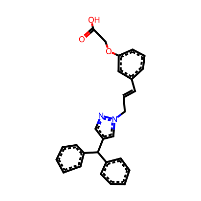 O=C(O)COc1cccc(C=CCn2cc(C(c3ccccc3)c3ccccc3)cn2)c1